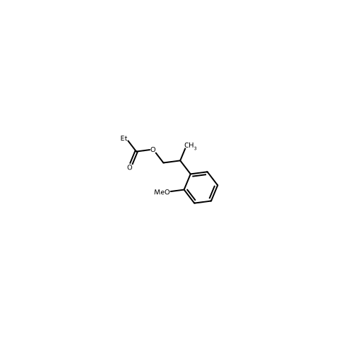 CCC(=O)OCC(C)c1ccccc1OC